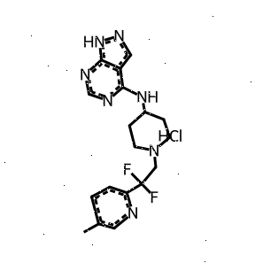 Cc1ccc(C(F)(F)CN2CCC(Nc3ncnc4[nH]ncc34)CC2)nc1.Cl